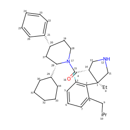 CC[C@@]1(c2c(F)cccc2CC(C)C)CNC[C@H]1C(=O)N1CC[C@@H](c2ccccc2)C[C@H]1C1CCCCC1